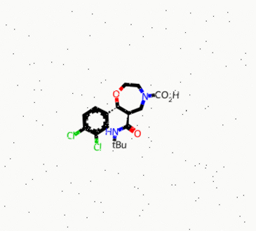 CC(C)(C)NC(=O)[C@@H]1CN(C(=O)O)CCO[C@H]1c1ccc(Cl)c(Cl)c1